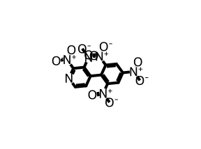 O=[N+]([O-])c1cc([N+](=O)[O-])c(-c2ccnc([N+](=O)[O-])c2[N+](=O)[O-])c([N+](=O)[O-])c1